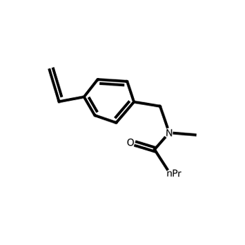 C=Cc1ccc(CN(C)C(=O)CCC)cc1